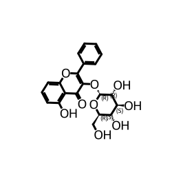 O=c1c(O[C@H]2O[C@H](CO)[C@@H](O)[C@H](O)[C@H]2O)c(-c2ccccc2)oc2cccc(O)c12